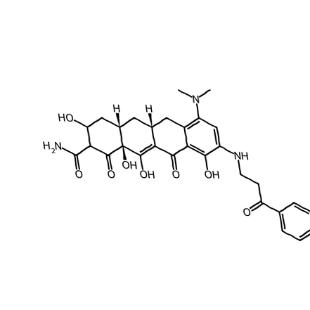 CN(C)c1cc(NCCC(=O)c2ccccc2)c(O)c2c1C[C@H]1C[C@H]3CC(O)C(C(N)=O)C(=O)[C@@]3(O)C(O)=C1C2=O